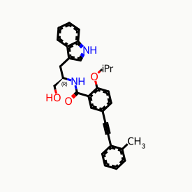 Cc1ccccc1C#Cc1ccc(OC(C)C)c(C(=O)N[C@@H](CO)Cc2c[nH]c3ccccc23)c1